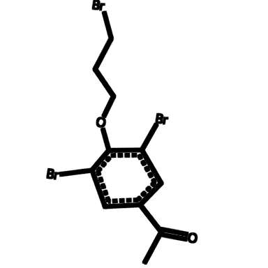 CC(=O)c1cc(Br)c(OCCCBr)c(Br)c1